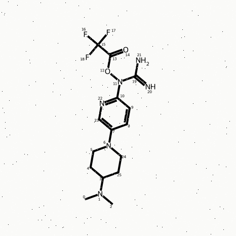 CN(C)C1CCN(c2ccc(N(OC(=O)C(F)(F)F)C(=N)N)nc2)CC1